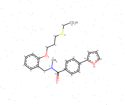 CN(Cc1ccccc1OCCCSCC(=O)O)C(=O)c1ccc(-c2ccco2)cc1